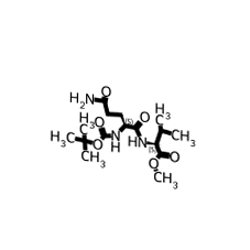 COC(=O)[C@@H](NC(=O)[C@H](CCC(N)=O)NC(=O)OC(C)(C)C)C(C)C